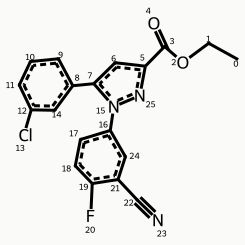 CCOC(=O)c1cc(-c2cccc(Cl)c2)n(-c2ccc(F)c(C#N)c2)n1